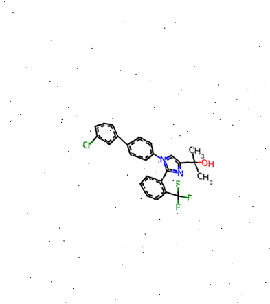 CC(C)(O)c1cn(-c2ccc(-c3cccc(Cl)c3)cc2)c(-c2ccccc2C(F)(F)F)n1